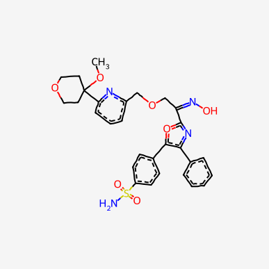 COC1(c2cccc(COC/C(=N/O)c3nc(-c4ccccc4)c(-c4ccc(S(N)(=O)=O)cc4)o3)n2)CCOCC1